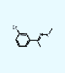 CON=C(C)c1cccc(Br)c1